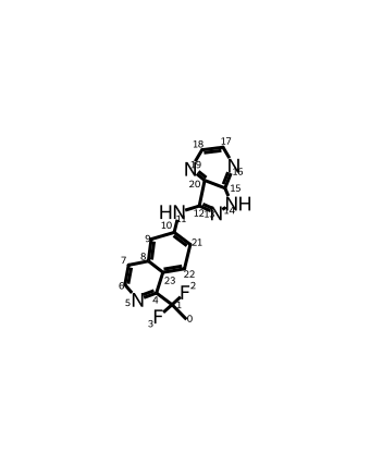 CC(F)(F)c1nccc2cc(Nc3n[nH]c4nccnc34)ccc12